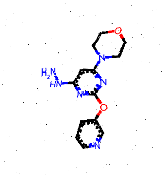 NNc1cc(N2CCOCC2)nc(Oc2cccnc2)n1